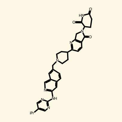 CC(C)c1cnc(Nc2cc3ccc(CN4CCC(c5ccc6c(n5)CN(C5CCC(=O)NC5=O)C6=O)CC4)cc3cn2)nc1